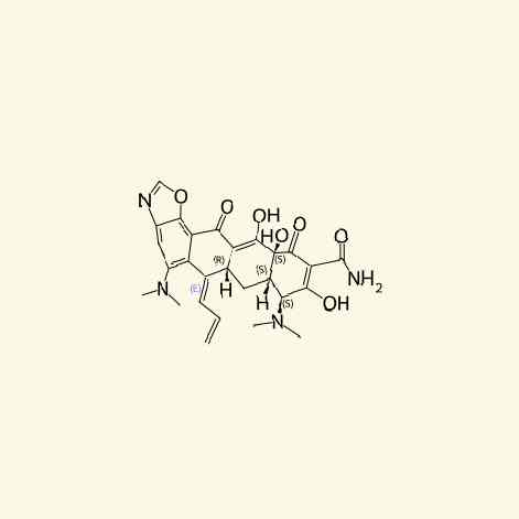 C=C/C=C1/c2c(N(C)C)cc3ncoc3c2C(=O)C2=C(O)[C@]3(O)C(=O)C(C(N)=O)=C(O)[C@@H](N(C)C)[C@@H]3C[C@@H]21